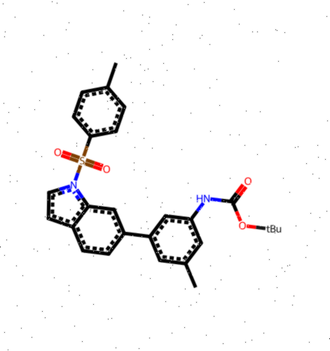 Cc1ccc(S(=O)(=O)n2ccc3ccc(-c4cc(C)cc(NC(=O)OC(C)(C)C)c4)cc32)cc1